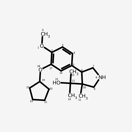 COc1ccc(C2CNCC2(C)C(C)(C)O)cc1OC1CCCC1